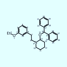 CCOc1cccc(CCN2CCCCC2OC(c2ccccc2)c2ccccc2)c1